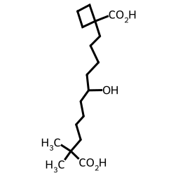 CC(C)(CCCCC(O)CCCCC1(C(=O)O)CCC1)C(=O)O